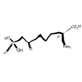 N[C@H](CCCC(=O)CP(=O)(O)O)C(=O)O